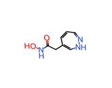 O=C(CC1=CNN=CC=C1)NO